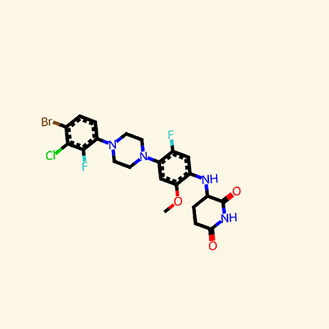 COc1cc(N2CCN(c3ccc(Br)c(Cl)c3F)CC2)c(F)cc1NC1CCC(=O)NC1=O